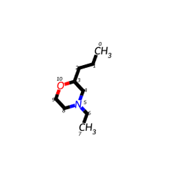 CCCC1CN(CC)CCO1